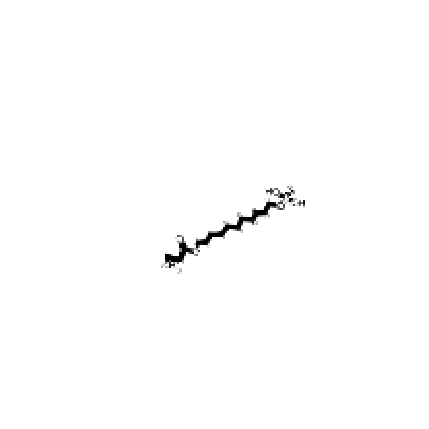 CC=CC(=O)OCCCCCCCCCCCOP(O)(O)=S